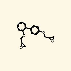 c1ccc(-c2ccc(OCC3CO3)cc2)c(OCC2CO2)c1